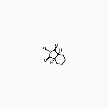 CCN1C(=O)[C@H]2CCCC[C@H]2C1=O